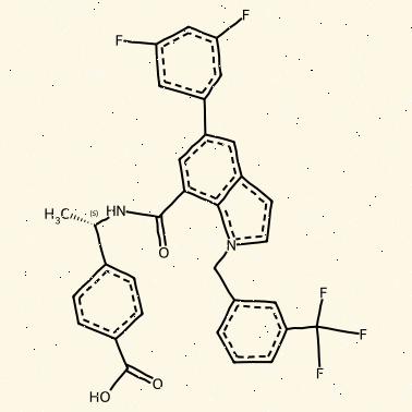 C[C@H](NC(=O)c1cc(-c2cc(F)cc(F)c2)cc2ccn(Cc3cccc(C(F)(F)F)c3)c12)c1ccc(C(=O)O)cc1